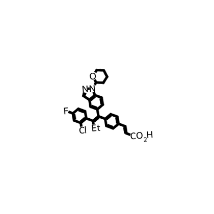 CCC(=C(c1ccc(C=CC(=O)O)cc1)c1ccc2c(cnn2C2CCCCO2)c1)c1ccc(F)cc1Cl